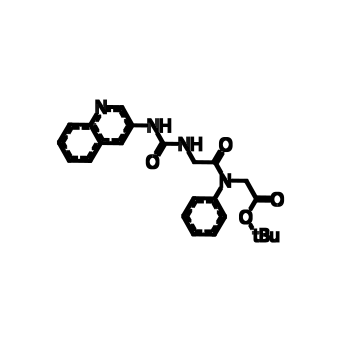 CC(C)(C)OC(=O)CN(C(=O)CNC(=O)Nc1cnc2ccccc2c1)c1ccccc1